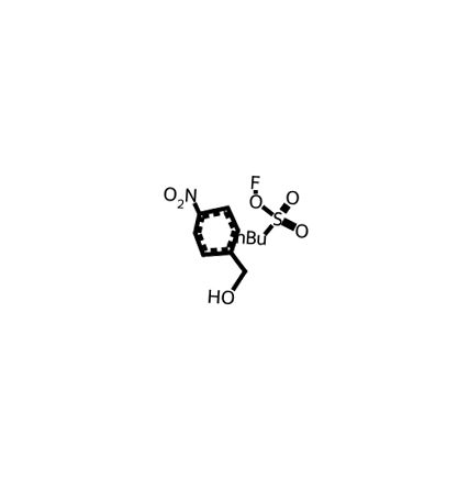 CCCCS(=O)(=O)OF.O=[N+]([O-])c1ccc(CO)cc1